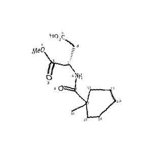 COC(=O)[C@H](CC(=O)O)NC(=O)C1(C)CCCCC1